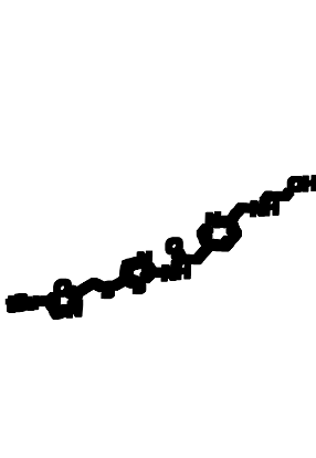 CC(C)(C)c1cnc(CSc2cnc(NC(=O)Cc3ccc(CNCCO)nc3)s2)o1